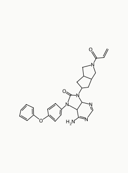 C=CC(=O)N1CC2CC(N3C(=O)N(c4ccc(Oc5ccccc5)cc4)C4C(N)=NC=NC43)CC2C1